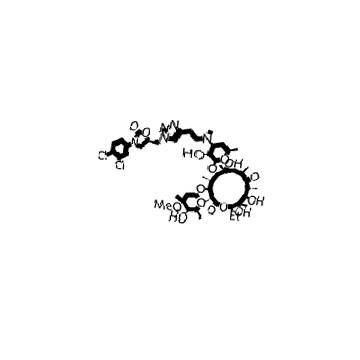 CC[C@H]1OC(=O)[C@H](C)[C@@H](O[C@H]2C[C@@](C)(OC)[C@@H](O)[C@H](C)O2)[C@H](C)[C@@H](O[C@@H]2O[C@H](C)C[C@H](N(C)CCc3cn(C[C@H]4CN(c5ccc(Cl)c(Cl)c5)C(=O)O4)nn3)[C@H]2O)[C@](C)(O)C[C@@H](C)C(=O)[C@H](C)[C@@H](O)[C@]1(C)O